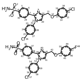 NS(=O)(=O)c1ccc(-c2nc(COc3ccc(Cl)cc3)cn2-c2ccc(Cl)cc2)cc1.NS(=O)(=O)c1ccc(-c2nc(COc3ccc(F)cc3)cn2-c2ccc(Cl)cc2)cc1